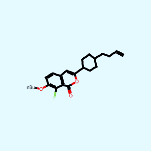 C=CCCC1CCC(c2cc3ccc(OCCCC)c(F)c3c(=O)o2)CC1